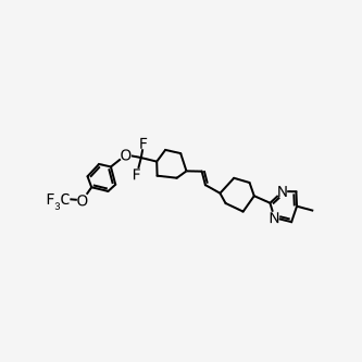 Cc1cnc(C2CCC(/C=C/C3CCC(C(F)(F)Oc4ccc(OC(F)(F)F)cc4)CC3)CC2)nc1